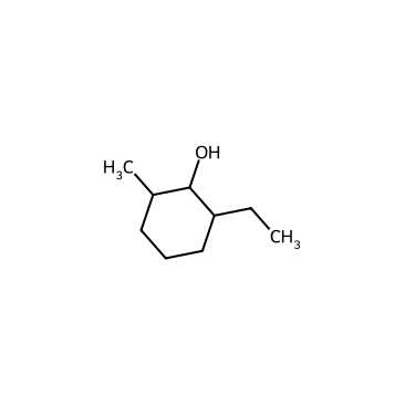 CCC1CCCC(C)C1O